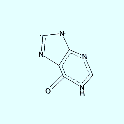 O=c1[nH]cnc2c1N=[C][N]2